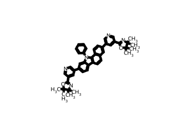 CC1(C)N=C(c2cncc(-c3ccc4c(ccc5c6ccc(-c7cncc(C8=NC(C)(C)C(C)(C)O8)c7)cc6n(-c6ccccc6)c45)c3)c2)OC1(C)C